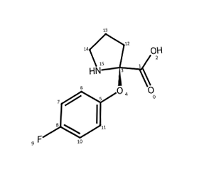 O=C(O)[C@@]1(Oc2ccc(F)cc2)CCCN1